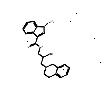 Cn1cc(C(=O)NCC(O)CN2CCc3ccccc3C2)c2ccccc21